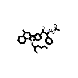 CCCCC(CC)Cn1c2ccc(C(=O)/C(=N/OC(C)=O)c3ccccc3)cc2c2cc(C)c3ccccc3c21